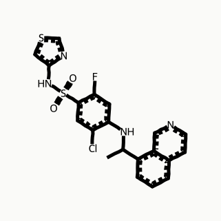 CC(Nc1cc(F)c(S(=O)(=O)Nc2cscn2)cc1Cl)c1cccc2ccncc12